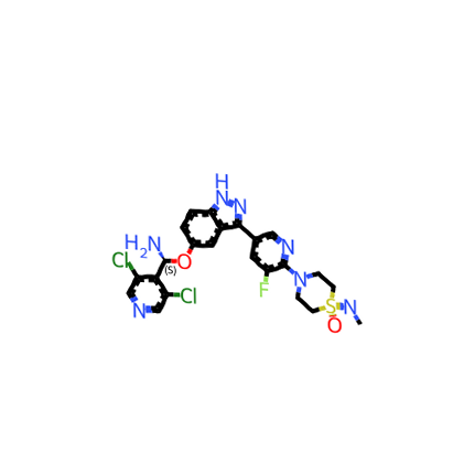 CN=S1(=O)CCN(c2ncc(-c3n[nH]c4ccc(O[C@H](N)c5c(Cl)cncc5Cl)cc34)cc2F)CC1